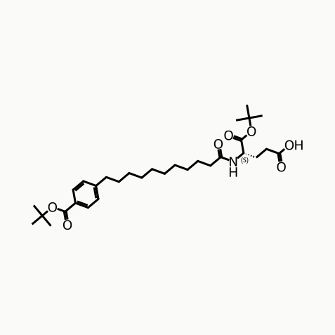 CC(C)(C)OC(=O)c1ccc(CCCCCCCCCCC(=O)N[C@@H](CCC(=O)O)C(=O)OC(C)(C)C)cc1